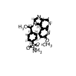 COc1ccc2c(ncc3ncn(C(C)c4ccc(S(N)(=O)=O)cc4)c32)n1